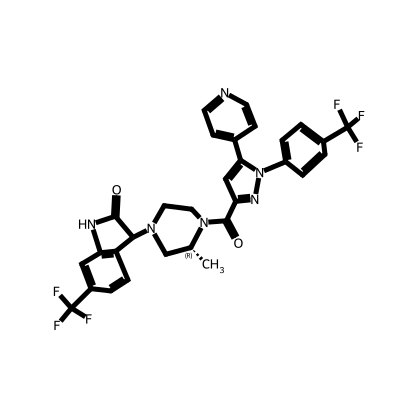 C[C@@H]1CN(C2C(=O)Nc3cc(C(F)(F)F)ccc32)CCN1C(=O)c1cc(-c2ccncc2)n(-c2ccc(C(F)(F)F)cc2)n1